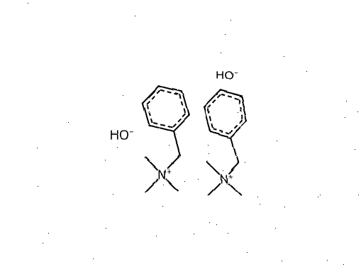 C[N+](C)(C)Cc1ccccc1.C[N+](C)(C)Cc1ccccc1.[OH-].[OH-]